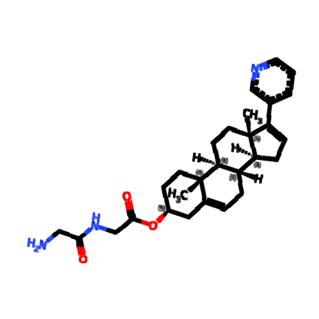 C[C@]12CC[C@H](OC(=O)CNC(=O)CN)CC1=CC[C@@H]1[C@@H]2CC[C@]2(C)C(c3cccnc3)=CC[C@@H]12